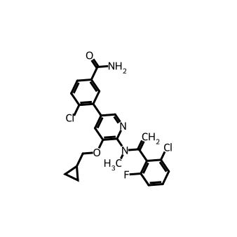 C=C(c1c(F)cccc1Cl)N(C)c1ncc(-c2cc(C(N)=O)ccc2Cl)cc1OCC1CC1